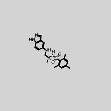 Cc1cc(C)c(S(=O)(=O)N[C@@H](C)CNc2ccc3[nH]ncc3c2)c(C)c1